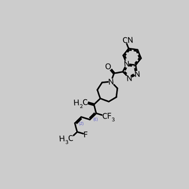 C=C(/C(=C\C=C/C(C)F)C(F)(F)F)C1CCCN(C(=O)c2nnc3ccc(C#N)cn23)CC1